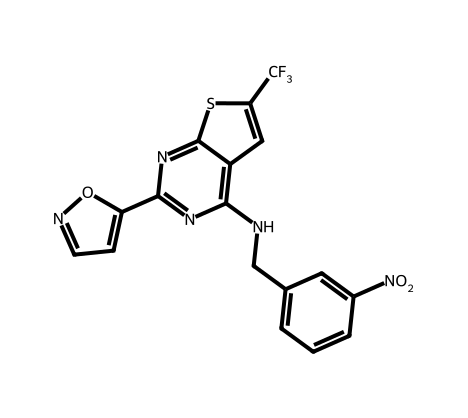 O=[N+]([O-])c1cccc(CNc2nc(-c3ccno3)nc3sc(C(F)(F)F)cc23)c1